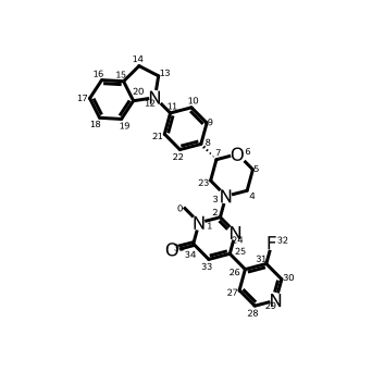 Cn1c(N2CCO[C@@H](c3ccc(N4CCc5ccccc54)cc3)C2)nc(-c2ccncc2F)cc1=O